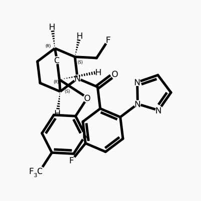 O=C(c1cc(F)ccc1-n1nccn1)N1[C@H](CF)[C@@H]2CC[C@H]1[C@H](Oc1ccc(C(F)(F)F)cn1)C2